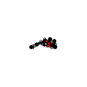 CC(=O)O[C@@]12COC1C[C@H](OC(=O)OCc1ccc(SSc3ccccn3)cc1)[C@@]1(C)C(=O)[C@H](C)C3=C(C)C(OC(=O)[C@H](O)C(NC(=O)c4ccccc4)c4ccccc4)C[C@@](O)([C@@H](OC(=O)c4ccccc4)[C@@H]12)C3(C)C